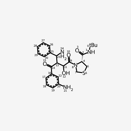 CC(C)(C)NC(=O)[C@@H]1CSCN1C(=O)C(O)C(C(=O)c1cccc(N)c1)C(N)c1ccccc1